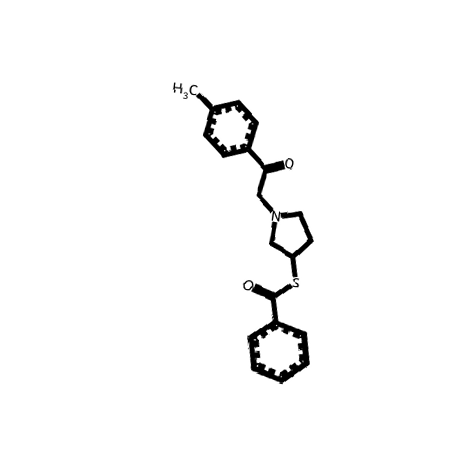 Cc1ccc(C(=O)CN2CCC(SC(=O)c3ccccc3)C2)cc1